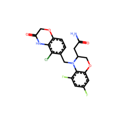 NC(=O)CC1COc2cc(F)cc(F)c2N1Cc1ccc2c(c1Cl)NC(=O)CO2